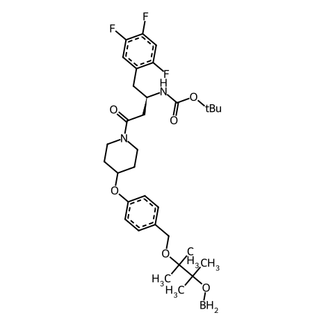 BOC(C)(C)C(C)(C)OCc1ccc(OC2CCN(C(=O)C[C@@H](Cc3cc(F)c(F)cc3F)NC(=O)OC(C)(C)C)CC2)cc1